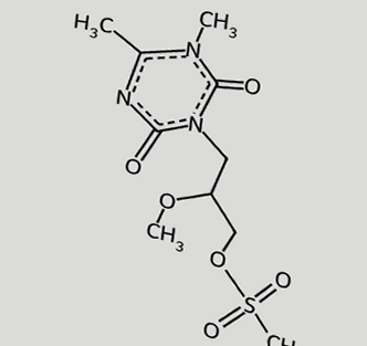 COC(COS(C)(=O)=O)Cn1c(=O)nc(C)n(C)c1=O